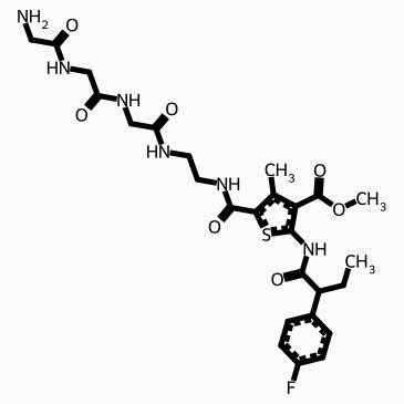 CCC(C(=O)Nc1sc(C(=O)NCCNC(=O)CNC(=O)CNC(=O)CN)c(C)c1C(=O)OC)c1ccc(F)cc1